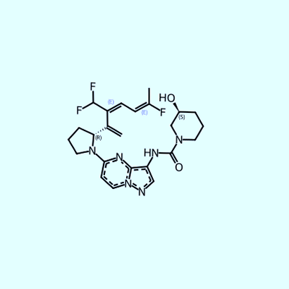 C=C(/C(=C\C=C(/C)F)C(F)F)[C@H]1CCCN1c1ccn2ncc(NC(=O)N3CCC[C@H](O)C3)c2n1